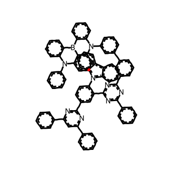 c1ccc(-c2cc(-c3ccccc3)nc(-c3ccc(-n4c5ccccc5c5ccccc54)c(-c4nc(-c5ccccc5)nc(-c5cccc(-c6cccc(N7c8ccccc8B8c9ccccc9N(c9ccccc9)c9cccc7c98)c6)c5)n4)c3)n2)cc1